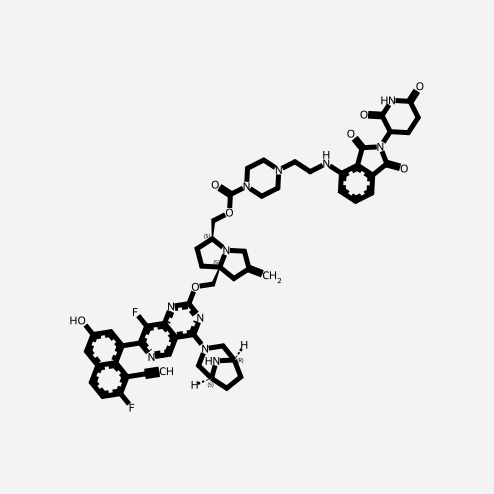 C#Cc1c(F)ccc2cc(O)cc(-c3ncc4c(N5C[C@H]6CC[C@@H](C5)N6)nc(OC[C@@]56CC[C@@H](COC(=O)N7CCN(CCNc8cccc9c8C(=O)N(C8CCC(=O)NC8=O)C9=O)CC7)N5CC(=C)C6)nc4c3F)c12